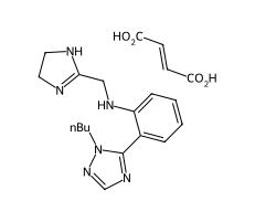 CCCCn1ncnc1-c1ccccc1NCC1=NCCN1.O=C(O)/C=C/C(=O)O